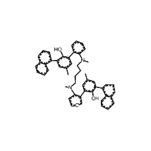 Cc1cc(-c2ccccc2N(C)CCCCN(C)c2ccccc2-c2cc(C)cc(-c3cccc4ccccc34)c2O)c(O)c(-c2cccc3ccccc23)c1